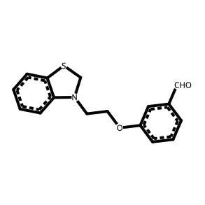 O=Cc1cccc(OCCN2CSc3ccccc32)c1